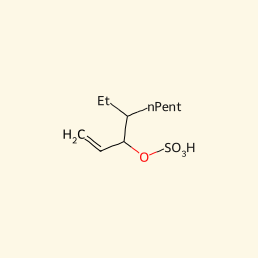 C=CC(OS(=O)(=O)O)C(CC)CCCCC